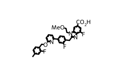 COCCn1c(Cc2ccc(-c3cccc(OCc4ccc(C)cc4F)n3)cc2F)nc2c(F)cc(C(=O)O)cc21